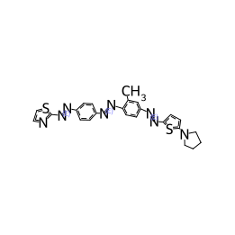 Cc1cc(/N=N/c2ccc(N3CCCC3)s2)ccc1/N=N/c1ccc(/N=N/c2nccs2)cc1